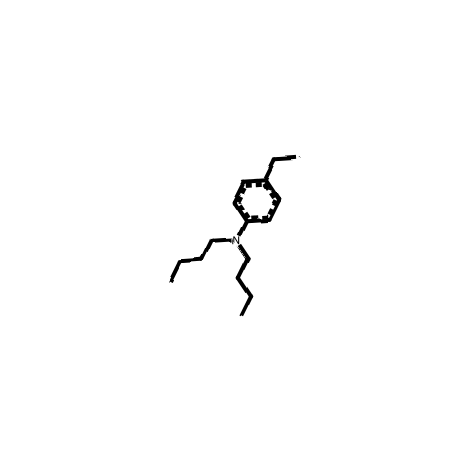 [CH2]Cc1ccc(N(CCCC)CCCC)cc1